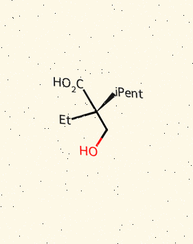 CCCC(C)[C@](CC)(CO)C(=O)O